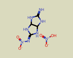 N=C1NC2NC(=N[N+](=O)[O-])NC2N1.O=[N+]([O-])O